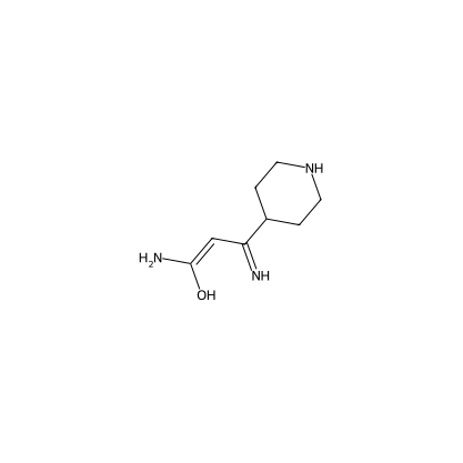 N=C(/C=C(/N)O)C1CCNCC1